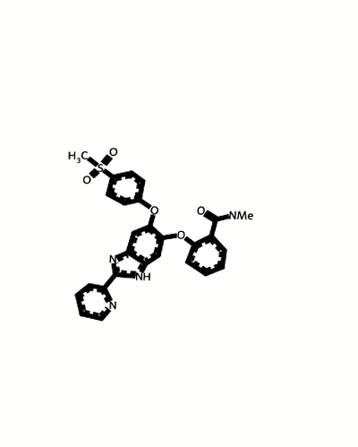 CNC(=O)c1ccccc1Oc1cc2[nH]c(-c3ccccn3)nc2cc1Oc1ccc(S(C)(=O)=O)cc1